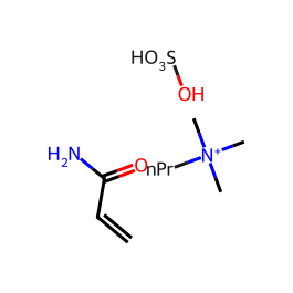 C=CC(N)=O.CCC[N+](C)(C)C.O=S(=O)(O)O